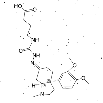 COc1ccc([C@@]23CCC(=NNC(=O)NCCCC(=O)O)C[C@@H]2N(C)CC3)cc1OC